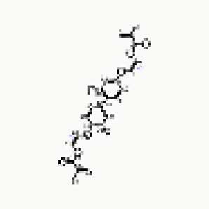 C=C(C)C(=O)O/C=C\Oc1ccc(-c2ccc(O/C=C\OC(=O)C(=C)C)c(F)c2)c(F)c1